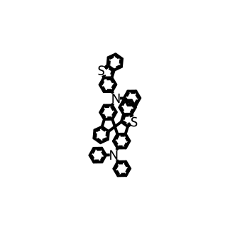 c1ccc(N(c2ccccc2)c2ccc3c(c2)C2(c4ccccc4-c4ccc(N(c5ccccc5)c5ccc6sc7ccccc7c6c5)cc42)c2c-3sc3ccccc23)cc1